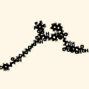 COc1ccc(CCCC(=O)NCCOCCOCCOCCOCCC(=O)NC(CC(=O)NCC2CCC(C(=O)N[C@@H](Cc3ccc4ccccc4c3)C(=O)NCCCC[C@H](NC(=O)N[C@@H](CCC(=O)O)C(=O)O)C(=O)O)CC2)CC(=O)Oc2c(F)c(F)c(F)c(F)c2F)cc1